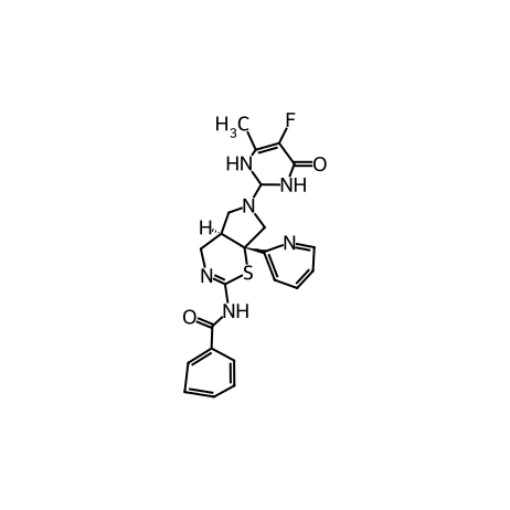 CC1=C(F)C(=O)NC(N2C[C@@H]3CN=C(NC(=O)c4ccccc4)S[C@@]3(c3ccccn3)C2)N1